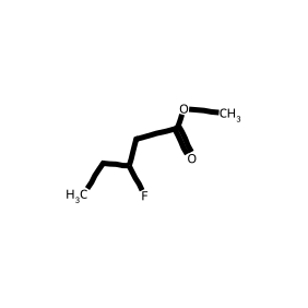 CCC(F)CC(=O)OC